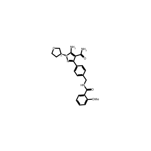 COc1ccccc1C(=O)NCc1ccc(-c2nn([C@H]3CCOC3)c(N)c2C(N)=O)cc1